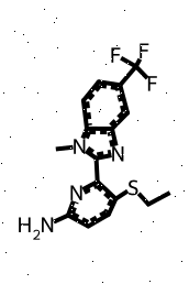 CCSc1ccc(N)nc1-c1nc2cc(C(F)(F)F)ccc2n1C